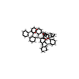 c1ccc(-c2ccccc2-c2ccccc2N(c2cc3c4c(c2)c2ccccc2n4-c2ccccc2C32c3ccccc3-c3ccccc32)c2ccccc2-c2ccccc2)cc1